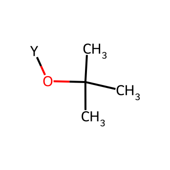 CC(C)(C)[O][Y]